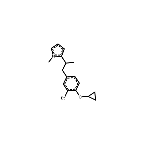 CCc1cc(CC(C)c2cccn2C)ccc1OC1CC1